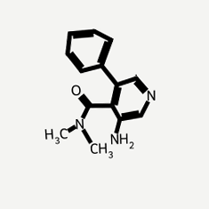 CN(C)C(=O)c1c(-c2ccccc2)[c]ncc1N